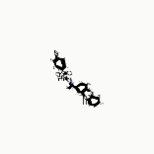 C/C(=N\NS(=O)(=O)c1ccc(Br)cc1)c1ccc2c(c1)Nc1ccccc1S2